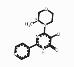 C[C@H]1COCCN1c1nc(-c2ccncc2)[nH]c(=O)c1Cl